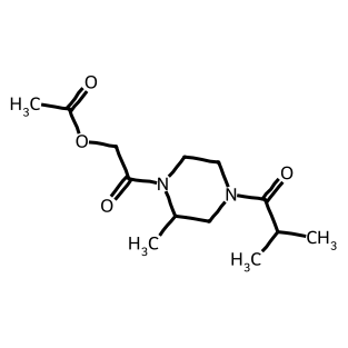 CC(=O)OCC(=O)N1CCN(C(=O)C(C)C)CC1C